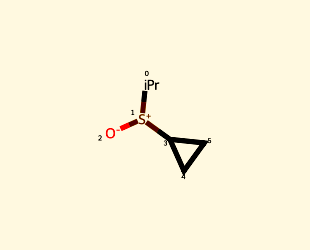 CC(C)[S+]([O-])C1CC1